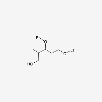 CCOCCC(OCC)C(C)CO